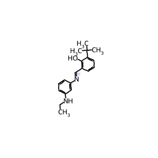 CCNc1cccc(/N=C/c2cccc(C(C)(C)C)c2O)c1